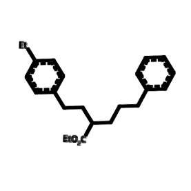 CCOC(=O)C(CCCc1ccccc1)CCc1ccc(CC)cc1